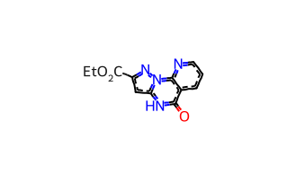 CCOC(=O)c1cc2[nH]c(=O)c3cccnc3n2n1